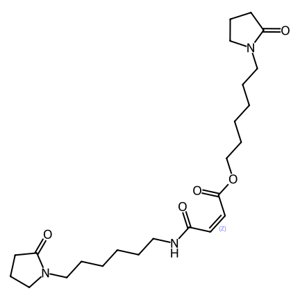 O=C(/C=C\C(=O)OCCCCCCN1CCCC1=O)NCCCCCCN1CCCC1=O